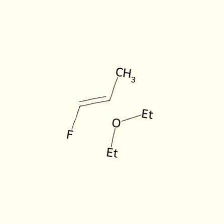 C/C=C/F.CCOCC